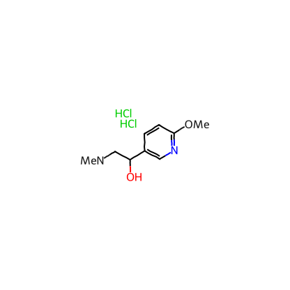 CNCC(O)c1ccc(OC)nc1.Cl.Cl